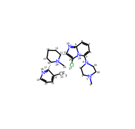 CN1CCN(c2cccc3nc([C@H]4CCC[C@@H](c5ncccc5C(F)(F)F)N4C)c(Cl)n23)CC1